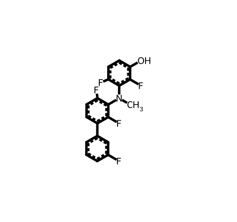 CN(c1c(F)ccc(O)c1F)c1c(F)ccc(-c2cccc(F)c2)c1F